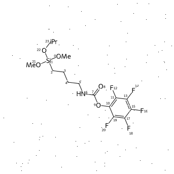 CO[Si](CCCCNC(=O)Oc1c(F)c(F)c(F)c(F)c1F)(OC)OC(C)C